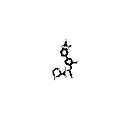 Cn1c(=O)oc2ccc(-c3ccc(C[C@@H](C#N)NC(=O)C4CNCCCO4)c(F)c3)cc21